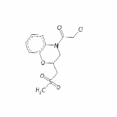 CS(=O)(=O)CC1CN(C(=O)CCl)c2ccccc2O1